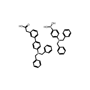 O=C(O)Cc1cccc(-c2ccc(N(Cc3ccccc3)Cc3ccccc3)cc2)c1.OB(O)c1ccc(N(Cc2ccccc2)Cc2ccccc2)cc1